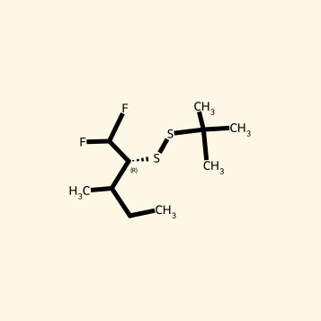 CCC(C)[C@@H](SSC(C)(C)C)C(F)F